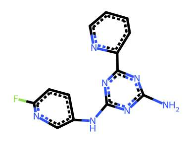 Nc1nc(Nc2ccc(F)nc2)nc(-c2ccccn2)n1